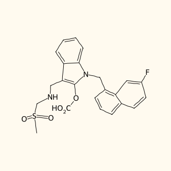 CS(=O)(=O)CNCc1c(OC(=O)O)n(Cc2cccc3ccc(F)cc23)c2ccccc12